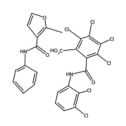 Cc1occc1C(=O)Nc1ccccc1.O=C(O)c1c(Cl)c(Cl)c(Cl)c(Cl)c1C(=O)Nc1cccc(Cl)c1Cl